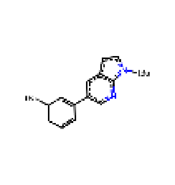 CC(C)(C)C1C=C(c2cnc3c(ccn3C(C)(C)C)c2)C=CC1